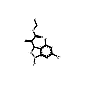 C=C(C(=O)OCC)C1OB(O)c2cc(O)cc(C)c21